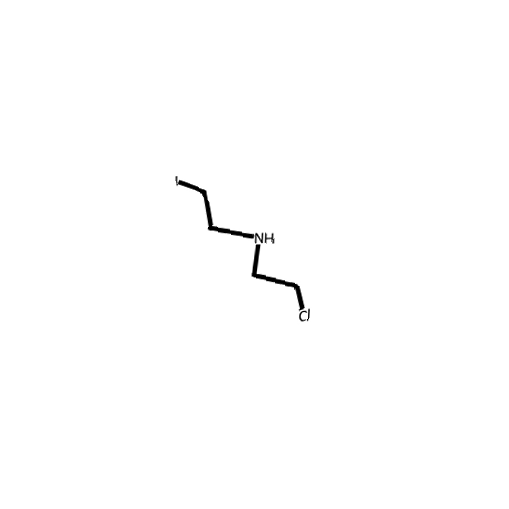 ClCCNCCI